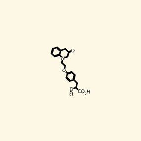 CCOC(Cc1ccc(OCCN2CC(=O)Cc3ccccc32)cc1)C(=O)O